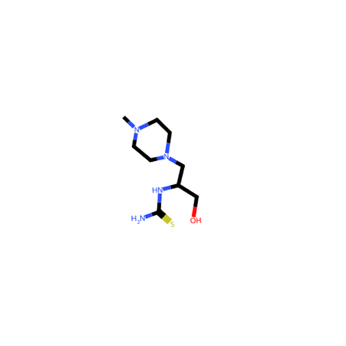 CN1CCN(CC(CO)NC(N)=S)CC1